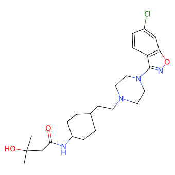 CC(C)(O)CC(=O)NC1CCC(CCN2CCN(c3noc4cc(Cl)ccc34)CC2)CC1